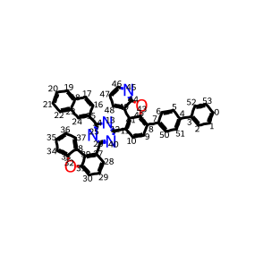 c1ccc(-c2ccc(-c3ccc(-c4nc(-c5ccc6ccccc6c5)nc(-c5cccc6oc7ccccc7c56)n4)c4c3oc3ncccc34)cc2)cc1